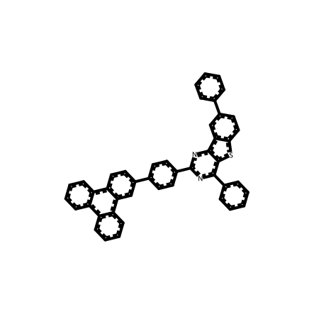 c1ccc(-c2ccc3sc4c(-c5ccccc5)nc(-c5ccc(-c6ccc7c8ccccc8c8ccccc8c7c6)cc5)nc4c3c2)cc1